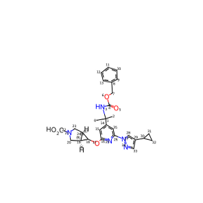 CC(C)(NC(=O)OCc1ccccc1)c1cc(OC2[C@H]3CN(C(=O)O)C[C@@H]23)nc(-n2cc(C3CC3)cn2)c1